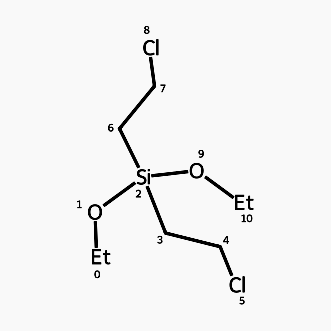 CCO[Si](CCCl)(CCCl)OCC